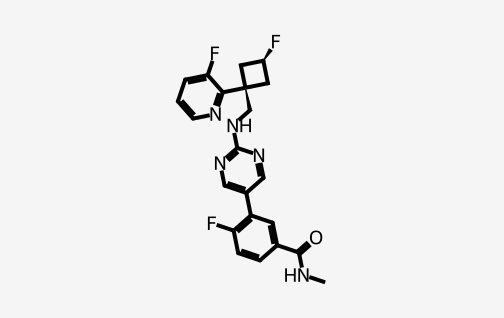 CNC(=O)c1ccc(F)c(-c2cnc(NC[C@]3(c4ncccc4F)C[C@H](F)C3)nc2)c1